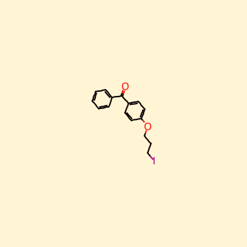 O=C(c1ccccc1)c1ccc(OCCCI)cc1